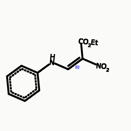 CCOC(=O)/C(=C\Nc1ccccc1)[N+](=O)[O-]